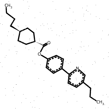 CCCC[C@H]1CC[C@H](C(=O)Oc2ccc(-c3ccc(CCC)cn3)cc2)CC1